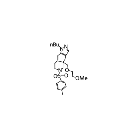 CCCCn1ncc2c1C=C1CCN(S(=O)(=O)c3ccc(C)cc3)CC1(COCCOC)C2